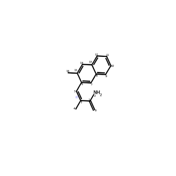 C=C(N)/C(C)=C\c1cc2ccccc2cc1C